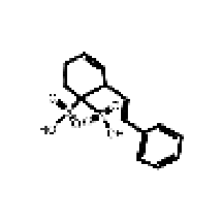 O=S(=O)(O)C1(S(=O)(=O)O)CCC=CC1C=Cc1ccccc1